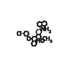 CO.NC1(c2cccc3ccccc23)CCc2c(ccc3c2cc(Oc2cccc(Cl)c2)c2ccccc23)C1